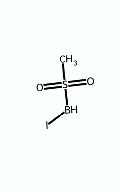 CS(=O)(=O)BI